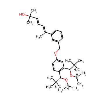 C/C(=C\C=C\C(C)(C)O)c1cccc(COc2ccc(C(O[SiH](C)C)C(C)(C)C)c(C(O[SiH](C)C)C(C)(C)C)c2)c1